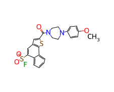 COc1ccc(N2CCN(C(=O)c3cc4cc(S(=O)(=O)F)c5ccccc5c4s3)CC2)cc1